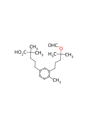 Cc1ccc(CCCC(C)(C)C(=O)O)cc1CCCC(C)(C)OC=O